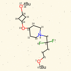 CC(C)(C)OCCCC(F)(F)CN1CCC(OC2CC(OC(C)(C)C)C2)CC1